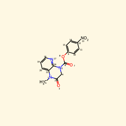 CN1C(=O)CN(C(=O)Oc2ccc([N+](=O)[O-])cc2)c2ncccc21